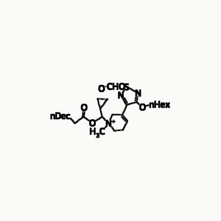 CCCCCCCCCCCC(=O)OC(C1CC1)[N+]1(C)CCC=C(c2nsnc2OCCCCCC)C1.O=C[O-]